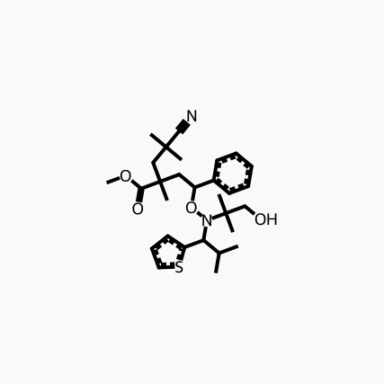 COC(=O)C(C)(CC(ON(C(c1cccs1)C(C)C)C(C)(C)CO)c1ccccc1)CC(C)(C)C#N